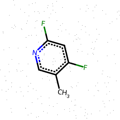 Cc1cnc(F)cc1F